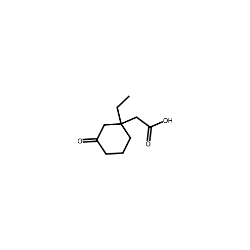 CCC1(CC(=O)O)CCCC(=O)C1